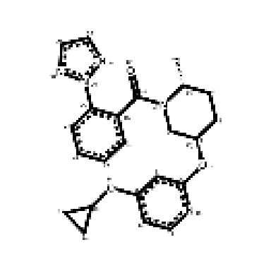 C[C@@H]1CC[C@@H](Oc2cc(OC3CC3)ccn2)CN1C(=O)c1ccccc1-n1nccn1